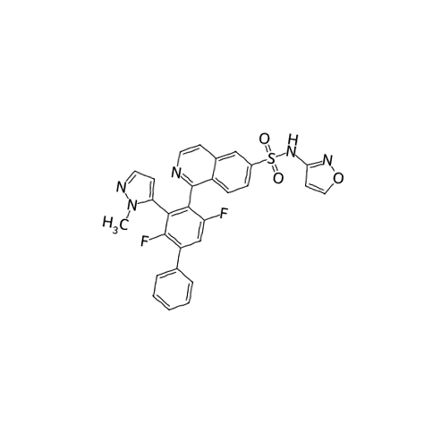 Cn1nccc1-c1c(F)c(-c2ccccc2)cc(F)c1-c1nccc2cc(S(=O)(=O)Nc3ccon3)ccc12